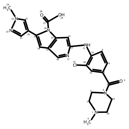 CN1CCN(C(=O)c2ccc(Nc3cc4c(cn3)cc(-c3cnn(C)c3)n4C(=O)O)c(Cl)c2)CC1